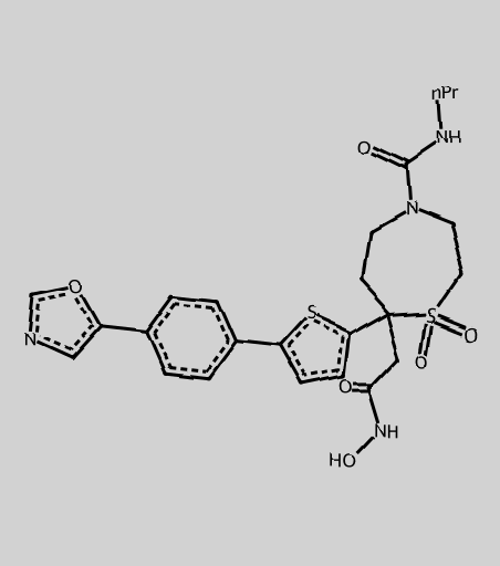 CCCNC(=O)N1CCC(CC(=O)NO)(c2ccc(-c3ccc(-c4cnco4)cc3)s2)S(=O)(=O)CC1